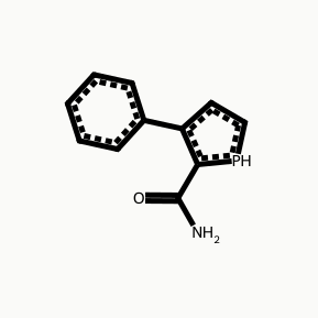 NC(=O)c1[pH]ccc1-c1ccccc1